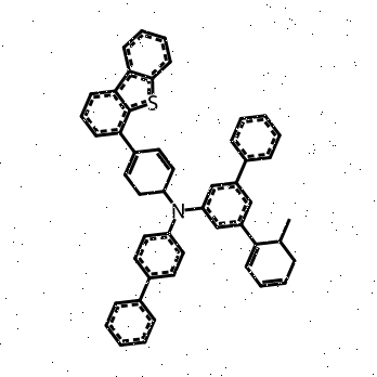 CC1CC=CC=C1c1cc(-c2ccccc2)cc(N(c2ccc(-c3ccccc3)cc2)C2C=CC(c3cccc4c3sc3ccccc34)=CC2)c1